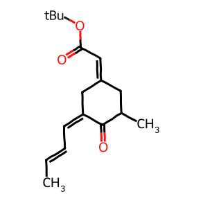 C/C=C/C=C1/C/C(=C\C(=O)OC(C)(C)C)CC(C)C1=O